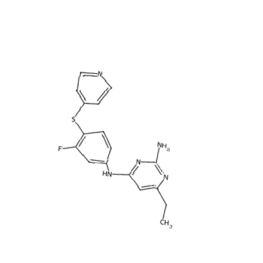 CCc1cc(Nc2ccc(Sc3ccncc3)c(F)c2)nc(N)n1